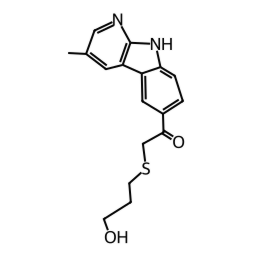 Cc1cnc2[nH]c3ccc(C(=O)CSCCCO)cc3c2c1